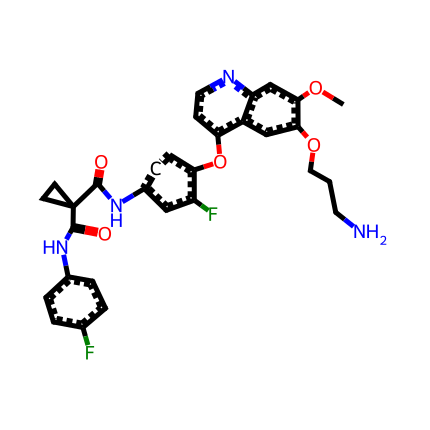 COc1cc2nccc(Oc3ccc(NC(=O)C4(C(=O)Nc5ccc(F)cc5)CC4)cc3F)c2cc1OCCCN